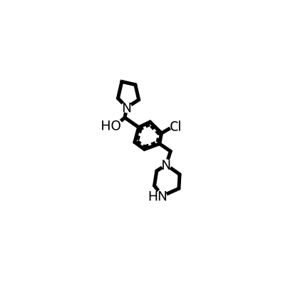 OC(c1ccc(CN2CCNCC2)c(Cl)c1)N1CCCC1